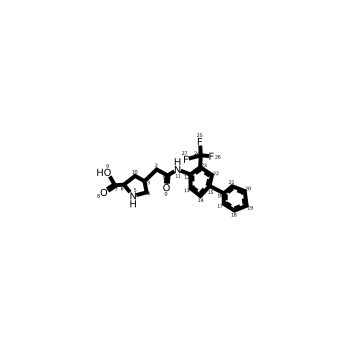 O=C(CC1CNC(C(=O)O)C1)Nc1ccc(-c2ccccc2)cc1C(F)(F)F